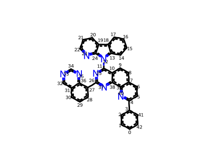 c1ccc(-c2ccc3ccc4c(-n5c6ccccc6c6cccnc65)nc(-c5cccc6cncnc56)nc4c3n2)cc1